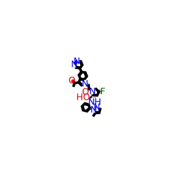 CC(=O)c1cn(CC(=O)N2C[C@H](F)C[C@H]2C(O)Nc2ccccc2-n2nccc2C)c2ccc(-c3ccnnc3)cc12